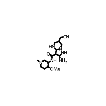 COC1CCN(C)CC1NC(=O)C1C(N)NN2CC(CC#N)CNC12